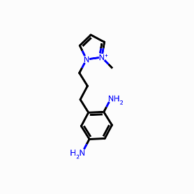 C[n+]1cccn1CCCc1cc(N)ccc1N